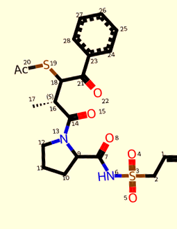 C=CCS(=O)(=O)NC(=O)C1CCCN1C(=O)[C@H](C)C(SC(C)=O)C(=O)c1ccccc1